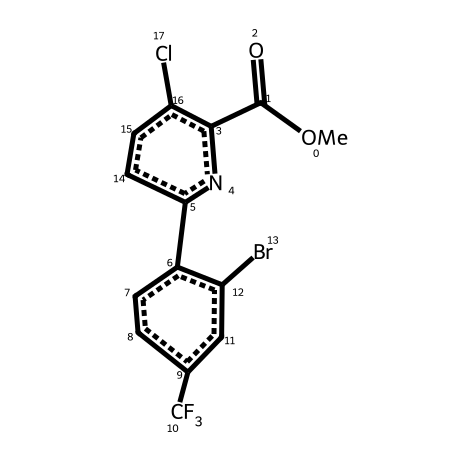 COC(=O)c1nc(-c2ccc(C(F)(F)F)cc2Br)ccc1Cl